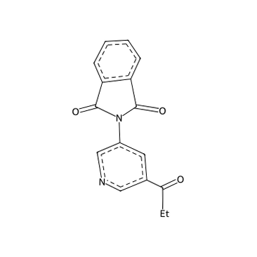 CCC(=O)c1cncc(N2C(=O)c3ccccc3C2=O)c1